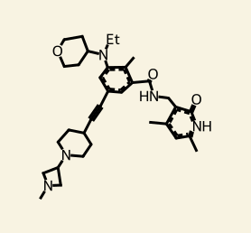 CCN(c1cc(C#CC2CCN(C3CN(C)C3)CC2)cc(C(=O)NCc2c(C)cc(C)[nH]c2=O)c1C)C1CCOCC1